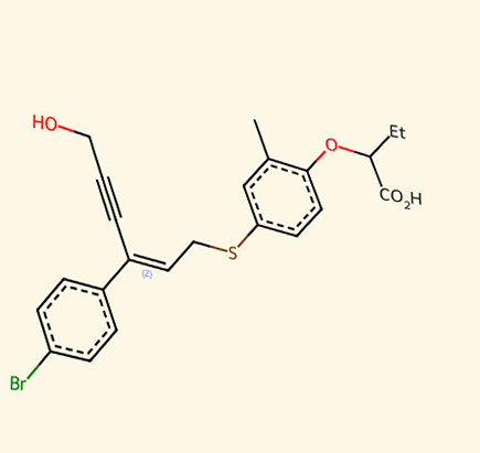 CCC(Oc1ccc(SC/C=C(\C#CCO)c2ccc(Br)cc2)cc1C)C(=O)O